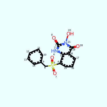 O=c1[nH]c2c(S(=O)(=O)Cc3ccccc3)cccc2c(=O)n1O